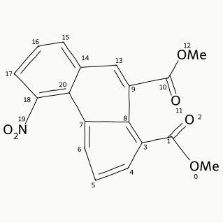 COC(=O)c1cccc2c1c(C(=O)OC)cc1cccc([N+](=O)[O-])c12